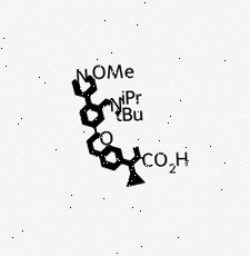 COc1cc(-c2ccc([C@@H]3CCc4ccc(C(C5CC5)[C@H](C)C(=O)O)cc4O3)cc2CN(C(C)C)C(C)(C)C)ccn1